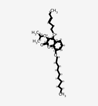 CCC=CCCOc1c(OC(C)C)c(=O)oc2c(OCCCCCCCCCC)cccc12